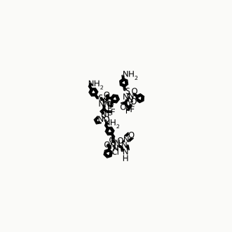 COc1ccccc1C(=O)n1nc(C2CN(C(=O)N3CCCC3)C2C(F)(F)F)nc1SCc1ccc(CN)cc1.COc1ccccc1C(=O)n1nc(C2COC2C(F)(F)F)nc1SCc1ccc(CN)cc1.NCc1ccc(COc2nc(C3CNCCN3C(=O)N3CCOCC3)nn2C(=O)c2ccccc2Cl)cc1